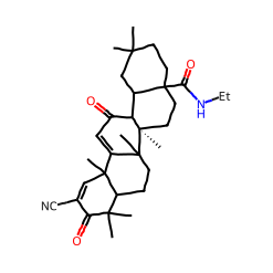 CCNC(=O)C12CCC(C)(C)CC1C1C(=O)C=C3C4(C)C=C(C#N)C(=O)C(C)(C)C4CCC3(C)[C@]1(C)CC2